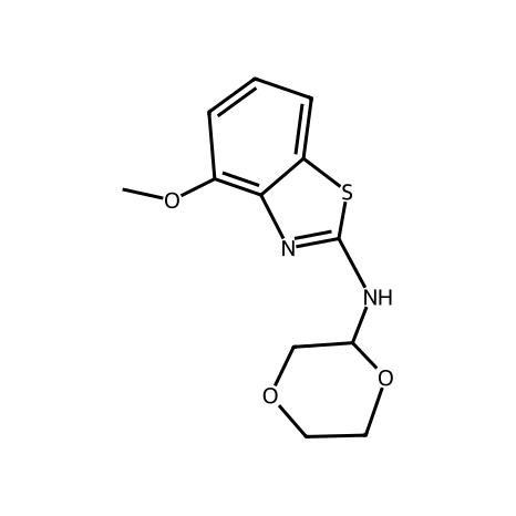 COc1cccc2sc(NC3COCCO3)nc12